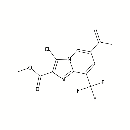 C=C(C)c1cc(C(F)(F)F)c2nc(C(=O)OC)c(Cl)n2c1